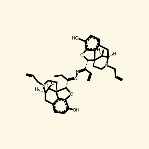 C=CCN1CC[C@]23c4c(ccc(O)c4O[C@H]2/C(C=C)=N/N=C(\CC)[C@@H]2Oc4c(O)ccc5c4[C@@]24CCN(CC=C)[C@H](C5)[C@@]4(C)O)C[C@@H]1[C@@H]3C